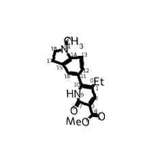 CCc1cc(C(=O)OC)c(=O)[nH]c1-c1ccc2c(c1)CCN2C